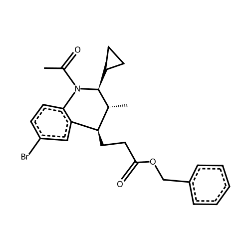 CC(=O)N1c2ccc(Br)cc2[C@H](CCC(=O)OCc2ccccc2)[C@@H](C)[C@@H]1C1CC1